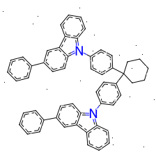 c1ccc(-c2ccc3c(c2)c2ccccc2n3-c2ccc(C3(c4ccc(-n5c6ccccc6c6cc(-c7ccccc7)ccc65)cc4)CCCCC3)cc2)cc1